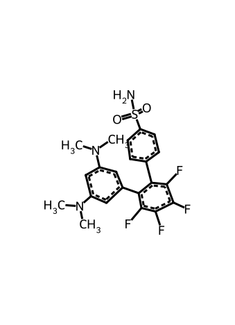 CN(C)c1cc(-c2c(F)c(F)c(F)c(F)c2-c2ccc(S(N)(=O)=O)cc2)cc(N(C)C)c1